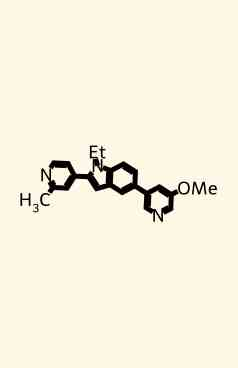 CCn1c(-c2ccnc(C)c2)cc2cc(-c3cncc(OC)c3)ccc21